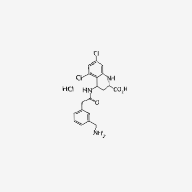 Cl.NCc1cccc(CC(=O)NC2CC(C(=O)O)Nc3cc(Cl)cc(Cl)c32)c1